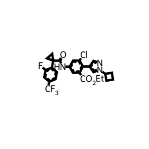 CCOC(=O)c1cc(NC(=O)C2(c3ccc(C(F)(F)F)cc3F)CC2)cc(Cl)c1-c1cnn(C2CCC2)c1